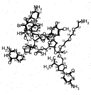 Cc1cn([C@H]2CC(OP(=S)(OCCOCCOCCN)OC[C@H]3O[C@@H](n4ccc(N)nc4=O)CC3C(C)C)[C@@H](COP(=O)(S)OC3C[C@H](n4cnc5c(=O)[nH]c(N)nc54)O[C@@H]3COP(=O)(S)OC3C[C@H](n4ccc(N)nc4=O)O[C@@H]3COP(=O)(S)OC3C[C@H](N4C=C(Br)C(=O)NC4O)O[C@@H]3CO)O2)c(=O)[nH]c1=O